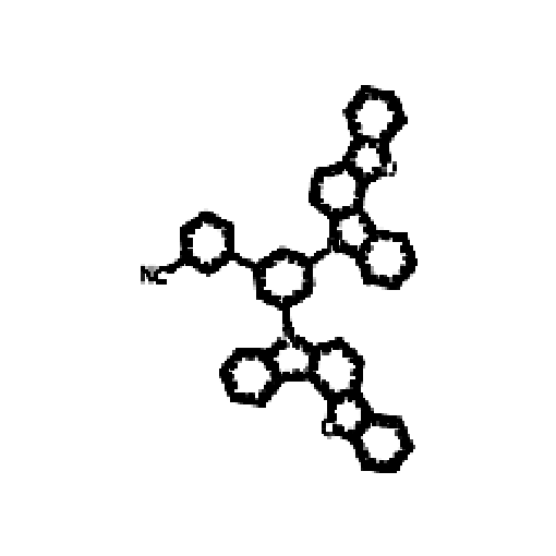 N#Cc1cccc(-c2cc(-n3c4ccccc4c4c5oc6ccccc6c5ccc43)cc(-n3c4ccccc4c4c5oc6ccccc6c5ccc43)c2)c1